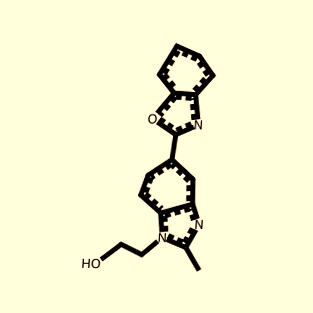 Cc1nc2cc(-c3nc4ccccc4o3)ccc2n1CCO